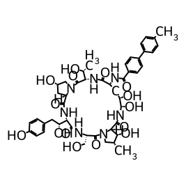 Cc1ccc(-c2ccc(C(=O)N[C@H]3C[C@@H](O)[C@@H](O)NC(=O)[C@@H]4[C@@H](O)[C@@H](C)CN4C(=O)[C@H](CO)NC(=O)[C@H]([C@H](O)Cc4ccc(O)cc4)NC(=O)[C@@H]4C[C@@H](O)CN4C(=O)[C@H]([C@@H](C)O)NC3=O)cc2)cc1